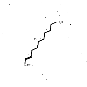 CCCCCCCC/C=C/CCCCCCCC(=O)O.[Cu]